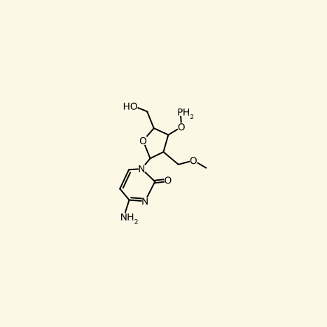 COCC1C(OP)C(CO)OC1n1ccc(N)nc1=O